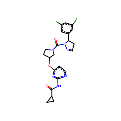 O=C(Nc1nccc(OC2CCN(C(=O)N3N=CCC3c3cc(F)cc(F)c3)C2)n1)C1CC1